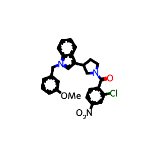 COc1cccc(Cn2cc(C3CCN(C(=O)c4ccc([N+](=O)[O-])cc4Cl)C3)c3ccccc32)c1